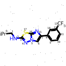 CC(C)CNc1nn2cc(-c3cccc(C(F)(F)F)c3)nc2s1